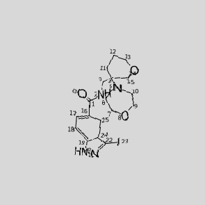 O=C(NCC1(N2CCOCC2)CCCOC1)C1=CC=C2NN=C(I)C2C1